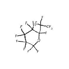 FC(F)(F)C(F)(C(F)(F)F)C1(F)OC(F)(F)C(F)(F)C(F)(F)C1(F)F